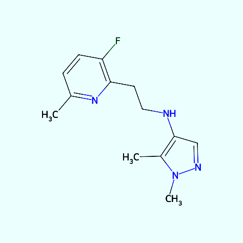 Cc1ccc(F)c(CCNc2cnn(C)c2C)n1